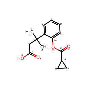 CC(C)(CC(=O)O)c1ccccc1OC(=O)C1CC1